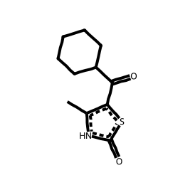 Cc1[nH]c(=O)sc1C(=O)C1CCCCC1